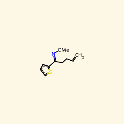 C=CCCC(=NOC)c1cccs1